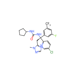 Cn1ncnc1C[C@@](NC(=O)NC1CCCC1)(c1cc(F)cc(C(F)(F)F)c1)c1ccc(Cl)cn1